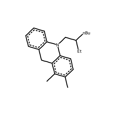 CCCCC(CC)CN1c2ccccc2Cc2c1ccc(C)c2C